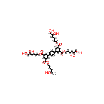 CCC(O)CCCCOC(=O)c1cc(C(=O)OCCCCC(O)CO)cc(-c2ccc(-c3cc(C(=O)OCCCCC(O)CO)cc(C(=O)OCCCCC(O)CO)c3)cc2)c1